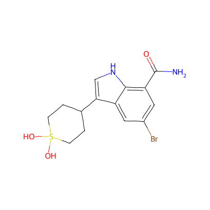 NC(=O)c1cc(Br)cc2c(C3CCS(O)(O)CC3)c[nH]c12